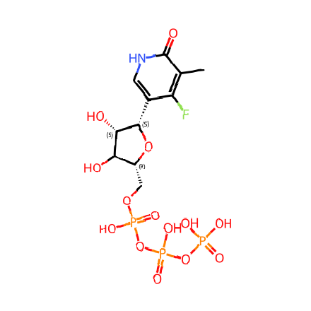 Cc1c(F)c([C@@H]2O[C@H](COP(=O)(O)OP(=O)(O)OP(=O)(O)O)C(O)[C@@H]2O)c[nH]c1=O